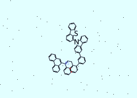 C(/Cc1ccccc1-c1cccc(-c2ccc3c(c2)c2ccccc2n3-c2cccc3c2sc2ccccc23)c1)=C(/c1ccccc1)c1cc2ccccc2c2ccccc12